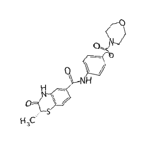 C[C@H]1Sc2ccc(C(=O)Nc3ccc(S(=O)(=O)N4CCOCC4)cc3)cc2NC1=O